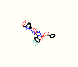 O=Cc1ccc2oc([C@H](NC(=O)OCc3ccccc3)C3CCC(F)(F)CC3)nc2n1